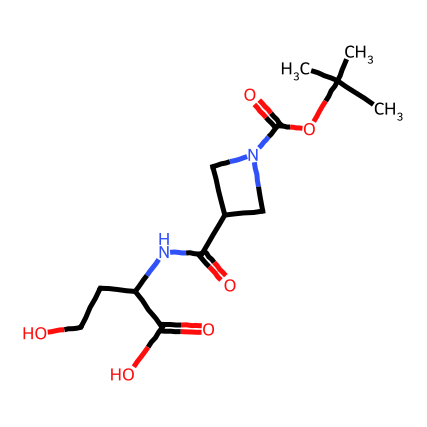 CC(C)(C)OC(=O)N1CC(C(=O)NC(CCO)C(=O)O)C1